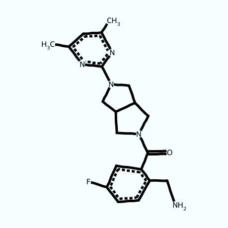 Cc1cc(C)nc(N2CC3CN(C(=O)c4cc(F)ccc4CN)CC3C2)n1